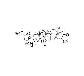 COC(=O)CS(=O)(=O)N[C@@]1(C)CC[C@@]2(C)CC[C@@]3(C)[C@]4(C)CC[C@H]5C(C)(C)C(=O)C(C#N)=C[C@]5(C)C4=CC(=O)[C@]3(O)[C@@H]2C1